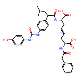 CC(C)CC(C(=O)NC(C/C=C/CC(NC(=O)Cc1ccccc1)C(=O)O)C(=O)O)c1ccc(NC(=O)Nc2ccc(O)cc2)cc1